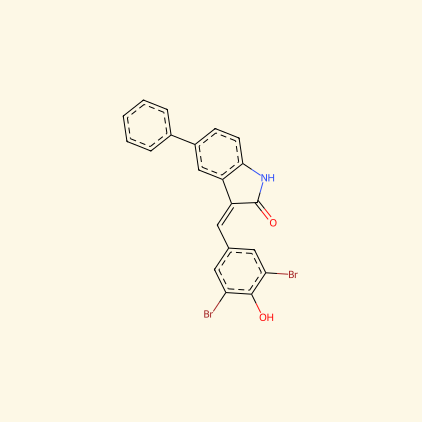 O=C1Nc2ccc(-c3ccccc3)cc2C1=Cc1cc(Br)c(O)c(Br)c1